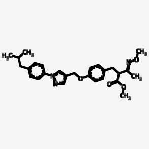 CON=C(C)C(Cc1ccc(OCc2cnn(-c3ccc(CC(C)C)cc3)c2)cc1)C(=O)OC